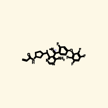 C=CC(=O)NC1CCC(C(C)c2ncnc(N)c2/C(=N\C)c2ccc(Oc3c(F)c(F)cc(F)c3F)cc2F)C1